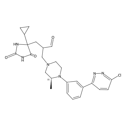 C[C@H]1CN(CC(C=O)CC2(C3CC3)NC(=O)NC2=O)CCN1c1cccc(-c2ccc(Cl)nn2)c1